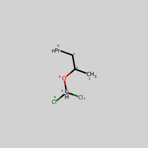 CCCCC(C)O[SiH](Cl)Cl